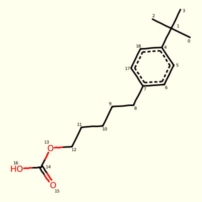 CC(C)(C)c1ccc(CCCCCOC(=O)O)cc1